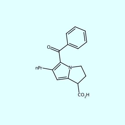 CCCc1cc2n(c1C(=O)c1ccccc1)CCC2C(=O)O